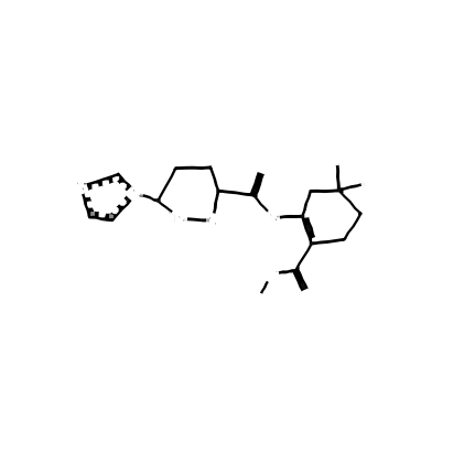 COC(=O)C1=C(NC(=O)C2CCC(n3ccnc3)NN2)CC(C)(C)CC1